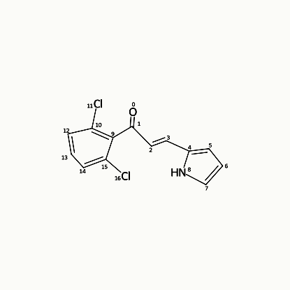 O=C(C=Cc1ccc[nH]1)c1c(Cl)cccc1Cl